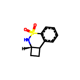 O=S1(=O)N[C@H]2CCC2c2ccccc21